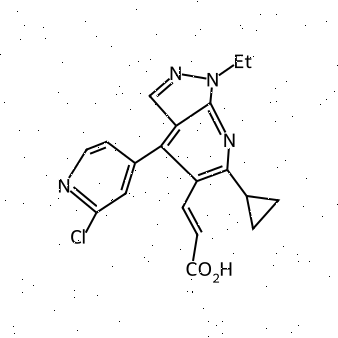 CCn1ncc2c(-c3ccnc(Cl)c3)c(C=CC(=O)O)c(C3CC3)nc21